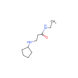 CCNC(=O)CCNC1CCCC1